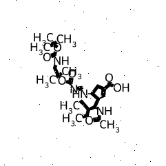 CCC(CC)[C@H](NC(C)=O)[C@@H]1C=C(C(=O)O)C[C@H]1NC=NC(=O)OC(C)(C)CNC(=O)OC(C)(C)C